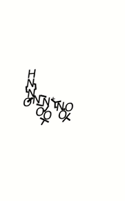 CC(C)(C)OC(=O)C[N+]1(CC2CN(C(=O)OC(C)(C)C)C2)CCN(C(=O)N2CCNCC2)CC1